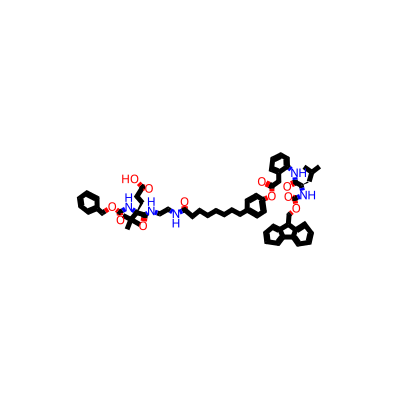 CC(C)C[C@H](NC(=O)OCC1c2ccccc2-c2ccccc21)C(=O)Nc1ccccc1CC(=O)Oc1ccc(CCCCCCCC(=O)NCCNC(=O)[C@@](CCC(=O)O)(NC(=O)OCc2ccccc2)C(C)(C)C)cc1